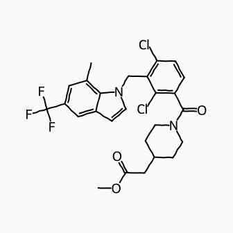 COC(=O)CC1CCN(C(=O)c2ccc(Cl)c(Cn3ccc4cc(C(F)(F)F)cc(C)c43)c2Cl)CC1